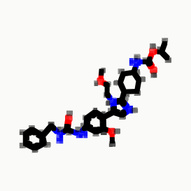 COCCn1c(-c2ccc(NC(=O)NCc3ccccc3)cc2OC)cnc1C1CCC(NC(=O)OC(C)C)CC1